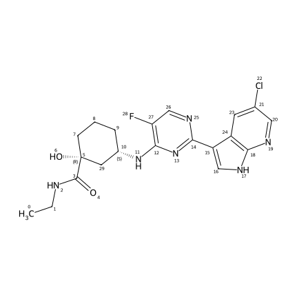 CCNC(=O)[C@@]1(O)CCC[C@H](Nc2nc(-c3c[nH]c4ncc(Cl)cc34)ncc2F)C1